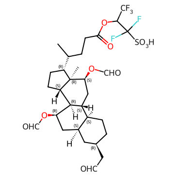 CC(CCC(=O)OC(C(F)(F)F)C(F)(F)S(=O)(=O)O)[C@H]1CC[C@H]2[C@@H]3[C@H](OC=O)C[C@@H]4C[C@H](CC=O)CC[C@]4(C)[C@H]3C[C@H](OC=O)[C@]12C